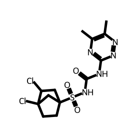 Cc1nnc(NC(=O)NS(=O)(=O)C23CCC(Cl)(C2)C(Cl)C3)nc1C